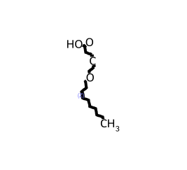 CCCCCC/C=C\CCOCC=C=CCC(=O)O